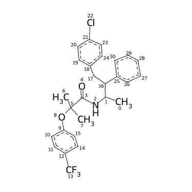 CC(NC(=O)C(C)(C)Oc1ccc(C(F)(F)F)cc1)C(Cc1ccc(Cl)cc1)c1ccccc1